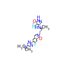 C[C@@H](CCCn1ccc2cc(-c3ncc(N(C)C)cn3)c(F)cc2c1=O)Nc1cn[nH]c(=O)c1C(F)(F)F